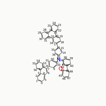 c1ccc2c(c1)cc(-c1ccc(N(c3ccc(-c4ccc5c6ccccc6c6ccccc6c5c4)cc3)c3cccc4c3oc3ccccc34)cc1)c1ccccc12